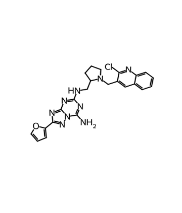 Nc1nc(NCC2CCCN2Cc2cc3ccccc3nc2Cl)nc2nc(-c3ccco3)nn12